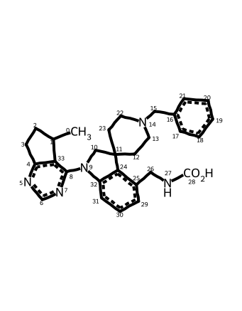 CC1CCc2ncnc(N3CC4(CCN(Cc5ccccc5)CC4)c4c(CNC(=O)O)cccc43)c21